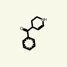 O=C(c1ccccc1)C1C=CNCC1